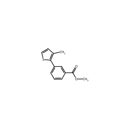 COC(=O)c1cccc(-c2sccc2C)c1